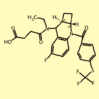 CCN(C(=O)CCC(=O)O)C1c2cc(F)ccc2N(C(=O)c2ccc(SC(F)(F)F)cc2)[C@H]2CC[C@H]12